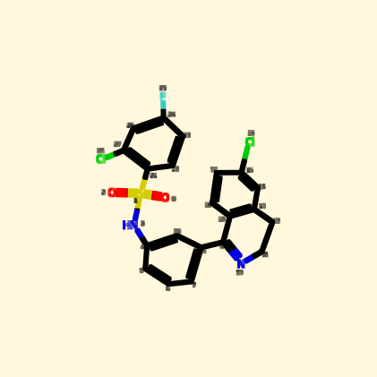 O=S(=O)(Nc1cccc(C2=NCCc3cc(Cl)ccc32)c1)c1ccc(F)cc1Cl